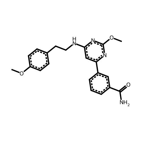 COc1ccc(CCNc2cc(-c3cccc(C(N)=O)c3)nc(OC)n2)cc1